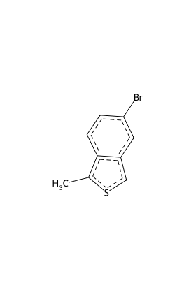 Cc1scc2cc(Br)ccc12